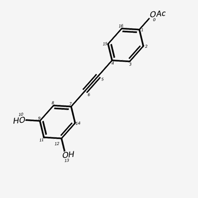 CC(=O)Oc1ccc(C#Cc2cc(O)cc(O)c2)cc1